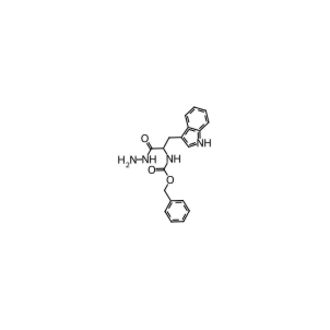 NNC(=O)C(Cc1c[nH]c2ccccc12)NC(=O)OCc1ccccc1